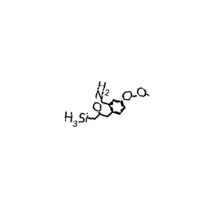 COCOc1ccc(CC(=O)C[SiH3])c(CN)c1